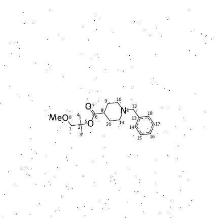 COCC(C)(C)OC(=O)C1CCN(Cc2ccccc2)CC1